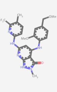 COCc1ccc(Nc2cc(Nc3ccc(C)c(C(F)(F)F)n3)nc3[nH]n(C)c(=O)c23)c(OC)c1